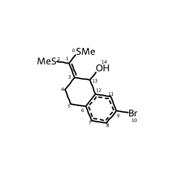 CSC(SC)=C1CCc2ccc(Br)cc2C1O